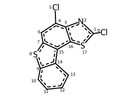 Clc1nc2c(Cl)cc3sc4ccccc4c3c2s1